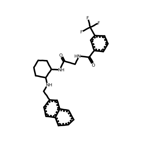 O=C(CNC(=O)c1cccc(C(F)(F)F)c1)NC1CCCCC1NCc1ccc2ccccc2c1